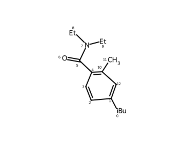 CCC(C)c1ccc(C(=O)N(CC)CC)c(C)c1